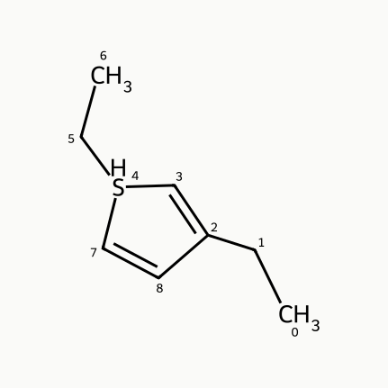 CCC1=C[SH](CC)C=C1